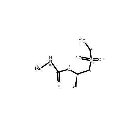 C[C@H](CS(=O)(=O)CC(F)(F)F)OC(=O)NC(C)(C)C